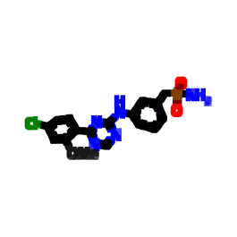 COc1cc(Cl)ccc1-c1ncnc(Nc2cccc(CS(N)(=O)=O)c2)n1